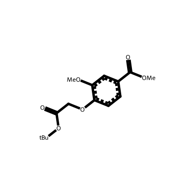 COC(=O)c1ccc(OCC(=O)OC(C)(C)C)c(OC)c1